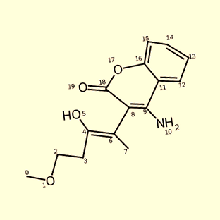 COCC/C(O)=C(\C)c1c(N)c2ccccc2oc1=O